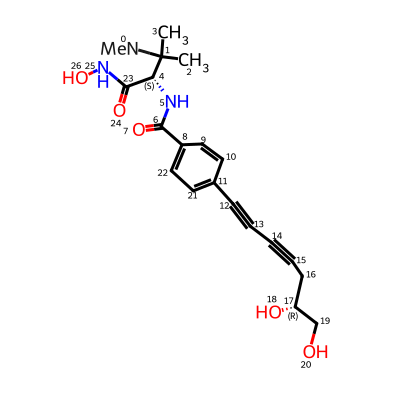 CNC(C)(C)[C@H](NC(=O)c1ccc(C#CC#CC[C@@H](O)CO)cc1)C(=O)NO